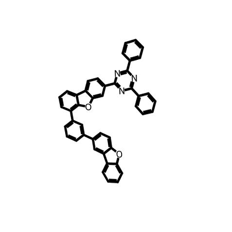 c1ccc(-c2nc(-c3ccccc3)nc(-c3ccc4c(c3)oc3c(-c5cccc(-c6ccc7oc8ccccc8c7c6)c5)cccc34)n2)cc1